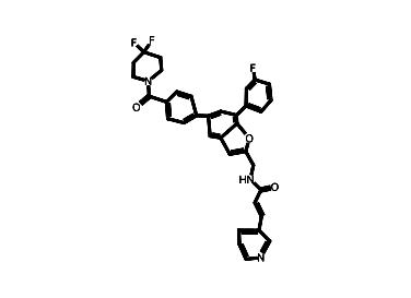 O=C(C=Cc1cccnc1)NCc1cc2cc(-c3ccc(C(=O)N4CCC(F)(F)CC4)cc3)cc(-c3cccc(F)c3)c2o1